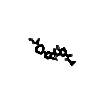 Cc1ccc(C(=O)NC2CC2)cc1NC(=O)c1cc(N2CCCN(C(=O)OC(C)(C)C)CC2)ccc1[N+](=O)[O-]